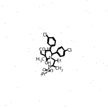 CC[C@@H](C(C)NS(=O)(=O)C(C)C)N1C(=O)[C@@](C)(CC(=O)O)CC(c2cccc(Cl)c2)C1c1ccc(Cl)cc1